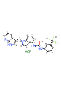 Cl.O=C(Nc1cccc(C(F)(F)F)c1)Nc1cccc2c1ccn2Cc1c[nH]c2ncccc12